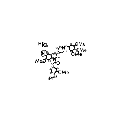 CCCOc1ccc(CC(=O)N(CCN2CCN(Cc3cc(OC)c(OC)c(OC)c3)CC2)c2ccc(OCCC)c(OC)c2)cc1OC.Cl.Cl